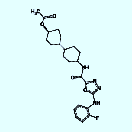 CC(=O)O[C@H]1CC[C@H](C2CCC(NC(=O)c3nnc(Nc4ccccc4F)o3)CC2)CC1